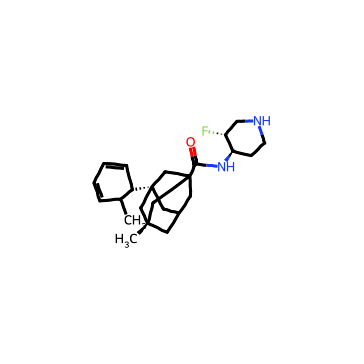 CC1C=CC=CC1[C@]12CC3CC(C(=O)N[C@@H]4CCNC[C@H]4F)(C[C@](C)(C3)C1)C2